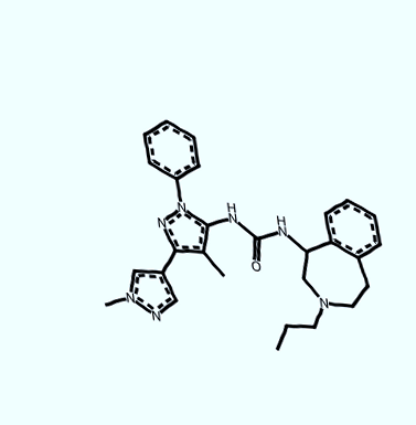 CCCN1CCc2ccccc2C(NC(=O)Nc2c(C)c(-c3cnn(C)c3)nn2-c2ccccc2)C1